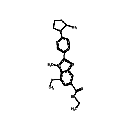 CCNC(=O)c1cc(OC)c2c(c1)nc(-c1ccc(N3CCCC3C)nc1)n2C